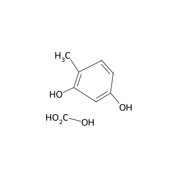 Cc1ccc(O)cc1O.O=C(O)O